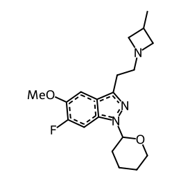 COc1cc2c(CCN3CC(C)C3)nn(C3CCCCO3)c2cc1F